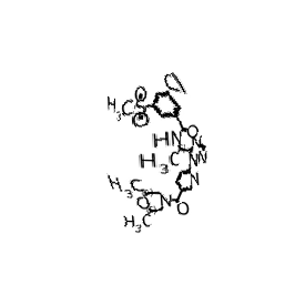 C[C@H](NC(=O)c1cc(Cl)cc(S(C)(=O)=O)c1)c1ncnn1-c1ccc(C(=O)N2C[C@H](C)O[C@@H](C)C2)cn1